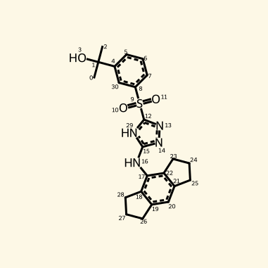 CC(C)(O)c1cccc(S(=O)(=O)c2nnc(Nc3c4c(cc5c3CCC5)CCC4)[nH]2)c1